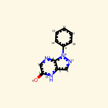 O=c1cnc2c(cnn2-c2ccccc2)[nH]1